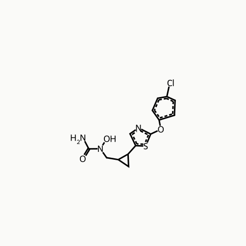 NC(=O)N(O)CC1CC1c1cnc(Oc2ccc(Cl)cc2)s1